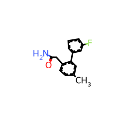 Cc1ccc(CC(N)=O)c(-c2cccc(F)c2)c1